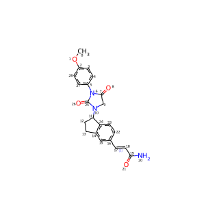 COc1ccc(N2C(=O)CN(C3CCc4cc(/C=C/C(N)=O)ccc43)C2=O)cc1